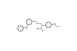 CCOc1ccc(C(CCCc2cccc(Oc3ccccc3)c2)C(F)F)cc1